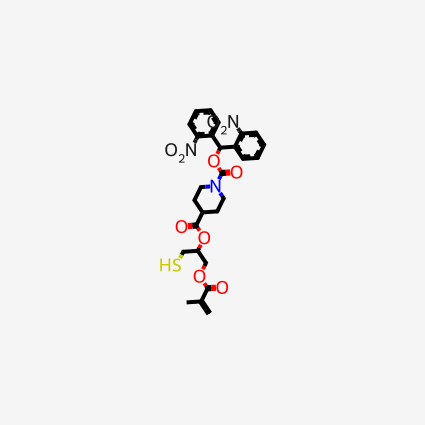 C=C(C)C(=O)OCC(CS)OC(=O)C1CCN(C(=O)OC(c2ccccc2[N+](=O)[O-])c2ccccc2[N+](=O)[O-])CC1